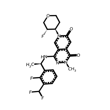 C[C@@H](Nc1nn(C)c(=O)c2cc(=O)n([C@@H]3CCOC[C@H]3F)cc12)c1cccc(C(F)F)c1F